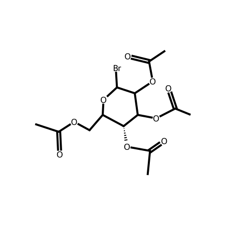 CC(=O)OCC1OC(Br)C(OC(C)=O)C(OC(C)=O)[C@@H]1OC(C)=O